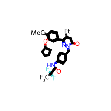 CCC1CC(=O)N(Cc2ccc(NC(=O)C(F)(F)C(F)(F)F)cc2)N=C1c1ccc(OC)c(OC2CCCC2)c1